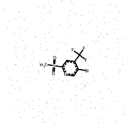 CS(=O)(=O)c1cc(C(F)(F)F)c(Br)cn1